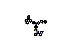 C=C/C=C\c1c(C)cccc1N(/C(C)=C/C=C(\C=C)c1ccc(C(c2ccc(-c3ccc(N(c4ccccc4)c4cccc5ccccc45)cc3)cc2)c2ccc(-c3ccc(-c4ccccc4)s3)cc2)cc1)c1ccccc1